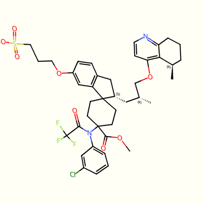 COC(=O)C1(N(C(=O)C(F)(F)F)c2cccc(Cl)c2)CCC2(CC1)c1cc(OCCCS(=O)(=O)O)ccc1C[C@@H]2C[C@@H](C)COc1ccnc2c1[C@H](C)CCC2